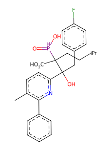 Cc1ccc(C(O)(Cc2ccc(F)cc2)C(CCC(C)C)(C(=O)O)[PH](=O)O)nc1-c1ccccc1